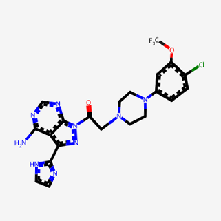 Nc1ncnc2c1c(-c1ncc[nH]1)nn2C(=O)CN1CCN(c2ccc(Cl)c(OC(F)(F)F)c2)CC1